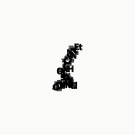 CCc1cnc(N2CCC(CNC(=O)c3cc4nc(Cl)nc(N5CCOCC5)c4s3)CC2)nc1